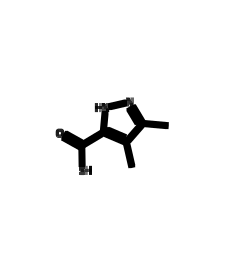 Cc1n[nH]c(C(=O)S)c1C